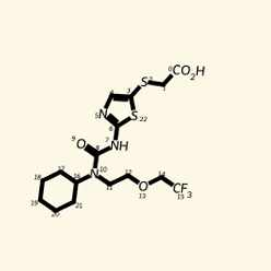 O=C(O)CSc1cnc(NC(=O)N(CCOCC(F)(F)F)C2CCCCC2)s1